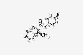 Cn1c([S+]([O-])Cc2ccc(F)cc2)nc2ccccc21